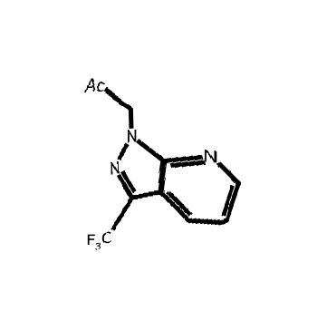 CC(=O)Cn1nc(C(F)(F)F)c2cccnc21